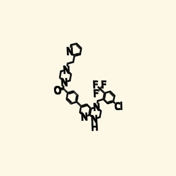 O=C(c1ccc(-c2cnc3c(c2)N(Cc2cc(Cl)ccc2C(F)(F)F)CCN3)cc1)N1CCN(CCc2ccccn2)CC1